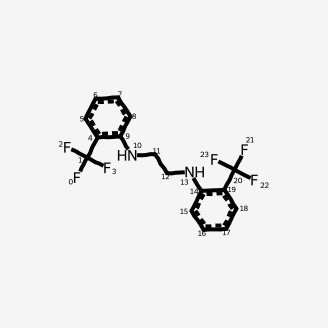 FC(F)(F)c1ccccc1NCCNc1ccccc1C(F)(F)F